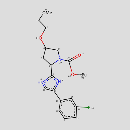 COCCOC1CC(c2nc(-c3cccc(F)c3)c[nH]2)N(C(=O)OC(C)(C)C)C1